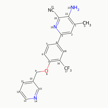 Cc1cc(-c2ccc(OCc3cccnc3)c(C(F)(F)F)c2)nc(C#N)c1N